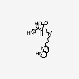 CN(CCCCc1ccc2c(n1)NCCC2)CC[C@H](NC(=O)C1CNC1)C(=O)O